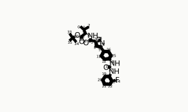 CC(C)[C@H](NC(=O)c1cc(-c2ccc(NC(=O)Nc3ccccc3F)cc2)no1)C(=O)OC(C)(C)C